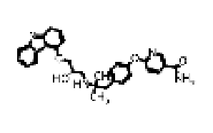 CC(C)(Cc1ccc(Oc2ccc(C(N)=O)cn2)cc1)NC[C@H](O)COC1=C2C(=Nc3ccccc32)CC=C1